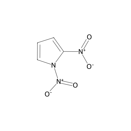 O=[N+]([O-])c1cccn1[N+](=O)[O-]